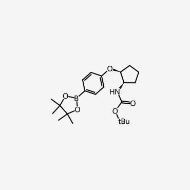 CC(C)(C)OC(=O)N[C@@H]1CCC[C@@H]1Oc1ccc(B2OC(C)(C)C(C)(C)O2)cc1